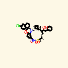 C[C@@H]1[C@@H](C)CCC(C(O)Cc2ccccc2)C[C@@H]2CC[C@H]2CN2C[C@@]3(CCCc4cc(Cl)ccc43)COc3ccc(cc32)C(=O)NS1(=O)=O